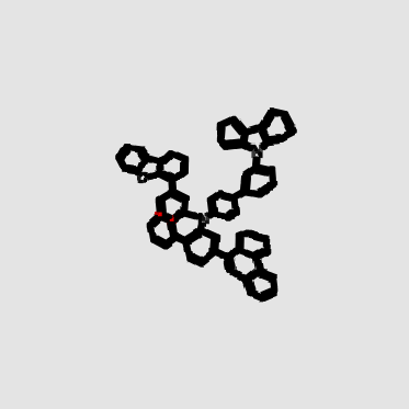 c1ccc(-c2ccc(-c3cc4ccccc4c4ccccc34)cc2N(c2ccc(-c3cccc(-n4c5ccccc5c5ccccc54)c3)cc2)c2cccc(-c3cccc4c3oc3ccccc34)c2)cc1